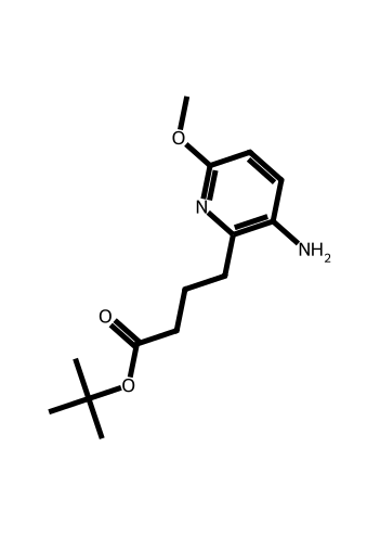 COc1ccc(N)c(CCCC(=O)OC(C)(C)C)n1